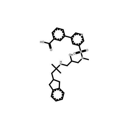 CN(CC(O)CNC(C)(C)CC1Cc2ccccc2C1)S(=O)(=O)c1cncc(-c2cccc(C(=O)O)c2)c1